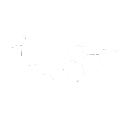 C[C@H]1CC(C(=O)O)c2ccccc2N1C(=O)c1ccc(OCCC(C)(C)C(N)=O)cc1